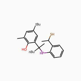 CCCCC(C)(Pc1ccccc1C(C)S)c1cc(C(C)(C)C)cc(C)c1O